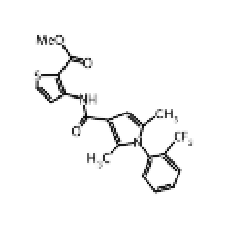 COC(=O)c1sccc1NC(=O)c1cc(C)n(-c2ccccc2C(F)(F)F)c1C